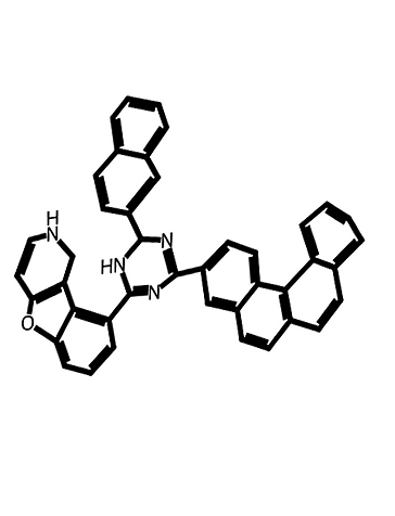 C1=Cc2oc3cccc(C4=NC(c5ccc6c(ccc7ccc8ccccc8c76)c5)=NC(c5ccc6ccccc6c5)N4)c3c2CN1